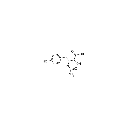 CC(=O)NC(Cc1ccc(O)cc1)C(O)C(=O)O